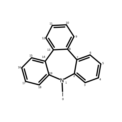 IN1c2ccccc2-c2ccccc2-c2ccccc21